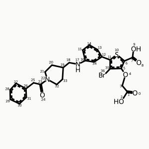 O=C(O)COc1c(C(=O)O)sc(-c2cccc(NCC3CCN(C(=O)Cc4ccccc4)CC3)c2)c1Br